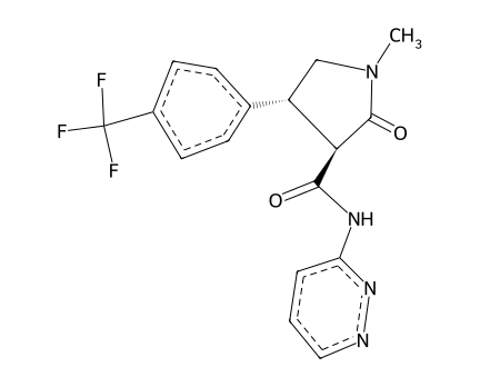 CN1C[C@@H](c2ccc(C(F)(F)F)cc2)[C@H](C(=O)Nc2cccnn2)C1=O